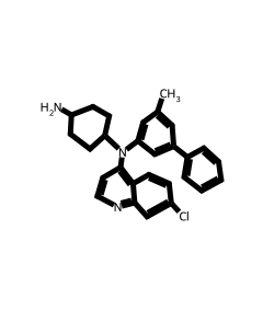 Cc1cc(-c2ccccc2)cc(N(c2ccnc3cc(Cl)ccc23)C2CCC(N)CC2)c1